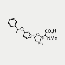 CNC(C(=O)O)[C@@H]1OC([SH]2C=CC(OC(C)c3ccccc3)=C2)C[C@H]1C